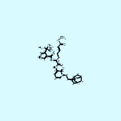 COC(=O)/C=C/CC[C@H](NC(=O)c1c[nH]cc1C(C)(C)C)C(=O)Nc1cccn(CCC23CC4CC(CC2C4)C3)c1=O